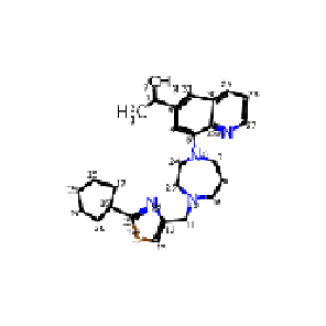 CC(C)c1cc(N2CCCN(Cc3csc(C4CCCCC4)n3)CC2)c2ncccc2c1